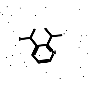 CC(C)c1ncccc1C(C)I